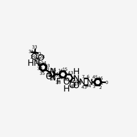 Cc1ccc(N2CCN(C(=O)NC(Cc3ccc(-c4noc(-c5ccc(NC(=O)OC(C)(C)C)cc5)n4)c(F)c3)C(=O)O)CC2)cc1